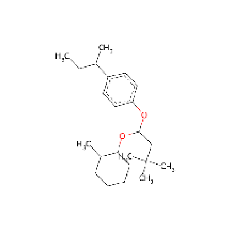 CCC(C)c1ccc(OC(CC(C)(C)C)OC2CCCCC2C)cc1